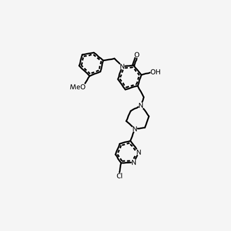 COc1cccc(Cn2ccc(CN3CCN(c4ccc(Cl)nn4)CC3)c(O)c2=O)c1